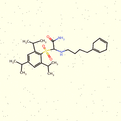 CC(C)c1cc(C(C)C)c(S(=O)(=O)C(NCCCCC2=CCC=CC2)C(N)=O)c(C(C)C)c1